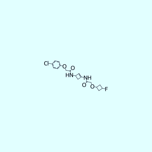 O=C(COC1CC(F)C1)NC1=CC(NC(=O)COc2ccc(Cl)cc2)C1